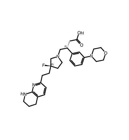 O=C(O)C[C@@H](CN1CC[C@](F)(CCc2ccc3c(n2)NCCC3)C1)c1cccc(N2CCOCC2)c1